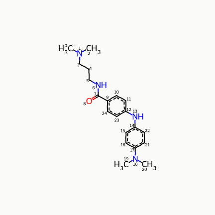 CN(C)CCCNC(=O)c1ccc(Nc2ccc(N(C)C)cc2)cc1